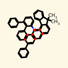 CC1(C)c2ccccc2-c2c(N(c3ccc(-c4ccccc4)cc3)c3cccc(-c4ccccc4)c3-c3ccccc3-c3ccccc3)cccc21